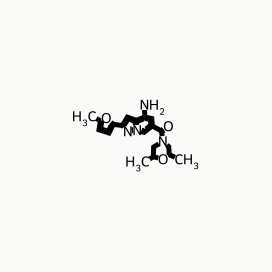 Cc1ccc(-c2cc3c(N)cc(C(=O)N4CC(C)OC(C)C4)cn3n2)o1